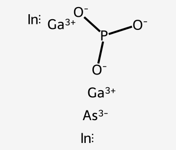 [As-3].[Ga+3].[Ga+3].[In].[In].[O-]P([O-])[O-]